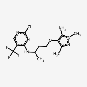 Cc1nn(C)c(N)c1OCC[C@@H](C)Nc1nc(Cl)ncc1C(F)(F)F